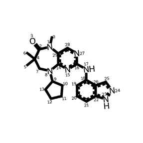 CN1C(=O)C(C)(C)CN(C2CCCC2)c2nc(Nc3cccc4[nH]ncc34)ncc21